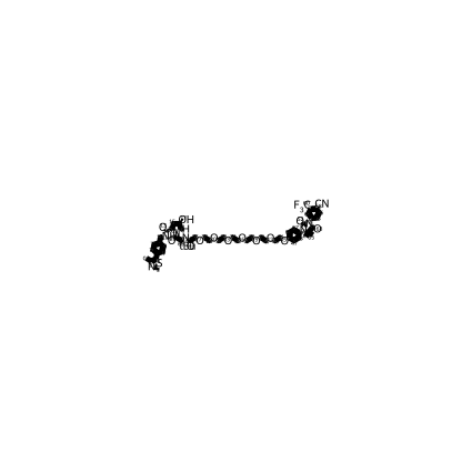 Cc1ncsc1-c1ccc(CNC(=O)[C@@H]2C[C@@H](O)CN2C(=O)[C@@H](NC(=O)COCCOCCOCCOCCOCCOCCOc2ccc(N3C(=O)N(c4ccc(C#N)c(C(F)(F)F)c4)C(=O)C3(C)C)cc2)C(C)(C)C)cc1